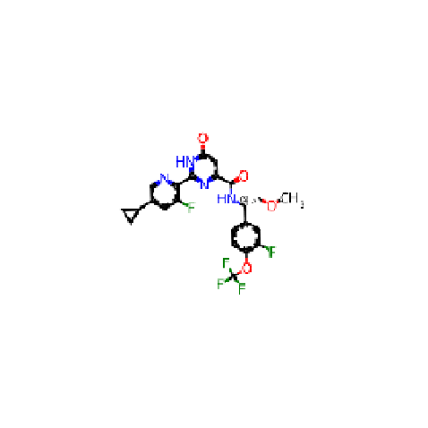 COC[C@@H](NC(=O)c1cc(=O)[nH]c(-c2ncc(C3CC3)cc2F)n1)c1ccc(OC(F)(F)F)c(F)c1